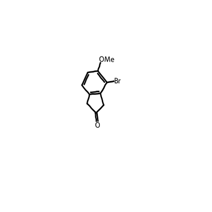 COc1ccc2c(c1Br)CC(=O)C2